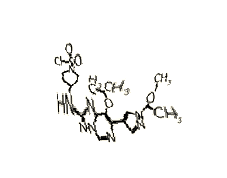 CCOC(C)n1cc(-c2ncn3nc(NC4CCN(S(=O)(=O)Cl)CC4)nc3c2OC(C)C)cn1